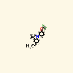 C=Cc1ccc2c(c1)C1(CC1)CN2c1cccc(OC(F)F)c1